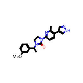 COc1cccc(C(C)N2CCN(c3ccc(-c4cn[nH]c4)c(C)n3)C2=O)c1